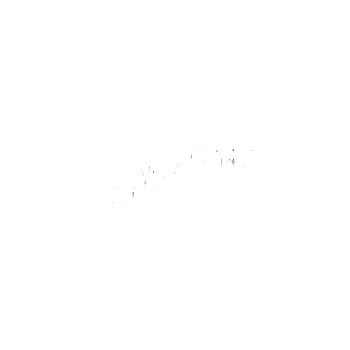 Clc1ccc(-c2ccc(C#Cc3ccc([CH][C@@H]4CCCN4)cc3)nc2)cc1